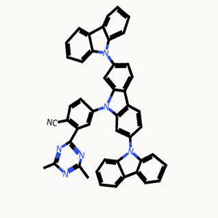 Cc1nc(C)nc(-c2cc(-n3c4cc(-n5c6ccccc6c6ccccc65)ccc4c4ccc(-n5c6ccccc6c6ccccc65)cc43)ccc2C#N)n1